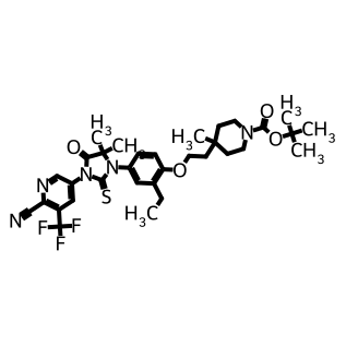 CCc1cc(N2C(=S)N(c3cnc(C#N)c(C(F)(F)F)c3)C(=O)C2(C)C)ccc1OCCC1(C)CCN(C(=O)OC(C)(C)C)CC1